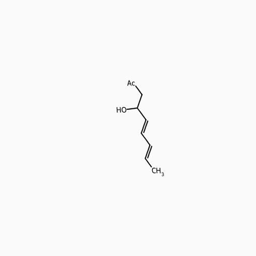 CC=CC=CC(O)CC(C)=O